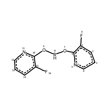 Fc1cccnc1OBOc1ncccc1F